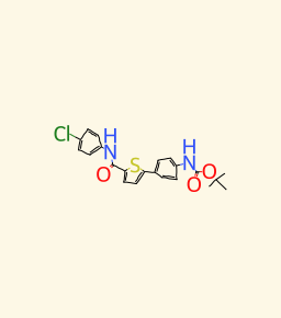 CC(C)(C)OC(=O)Nc1ccc(-c2ccc(C(=O)Nc3ccc(Cl)cc3)s2)cc1